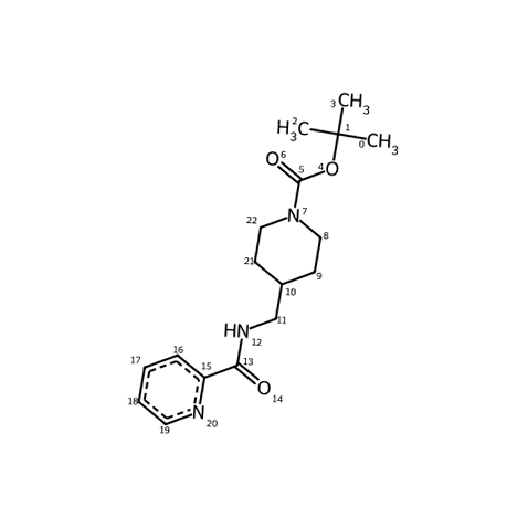 CC(C)(C)OC(=O)N1CCC(CNC(=O)c2ccccn2)CC1